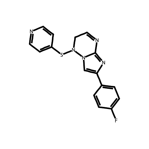 Fc1ccc(-c2cn3c(n2)N=CCN3Sc2ccncc2)cc1